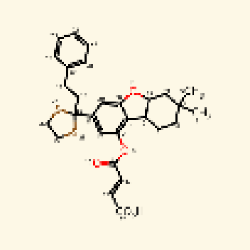 CC1(C)CCC2c3c(OC(=O)C=CC(=O)O)cc(C4(CCc5ccccc5)SCCS4)cc3OC2C1